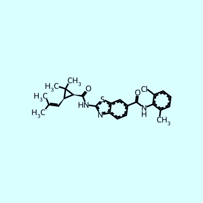 CC(C)=C[C@@H]1[C@H](C(=O)Nc2nc3ccc(C(=O)Nc4c(C)cccc4Cl)cc3s2)C1(C)C